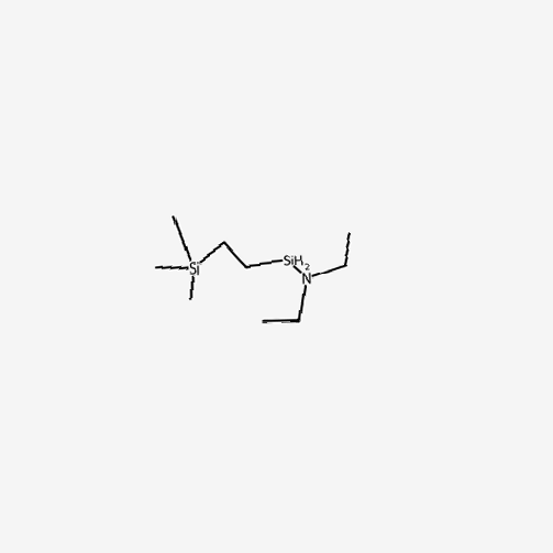 CCN(CC)[SiH2]CC[Si](C)(C)C